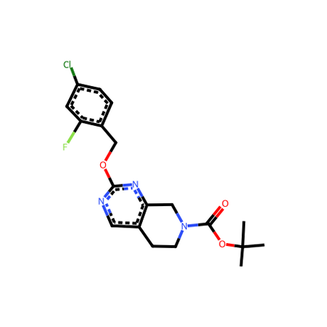 CC(C)(C)OC(=O)N1CCc2cnc(OCc3ccc(Cl)cc3F)nc2C1